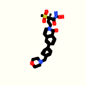 C[C@@](CCn1ccc2cc(-c3ccc(CN4CCOCC4)cc3)ccc2c1=O)(C(=O)NO)S(C)(=O)=O